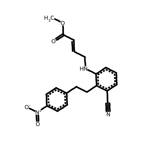 COC(=O)C=CCNc1cccc(C#N)c1CCc1ccc([N+](=O)[O-])cc1